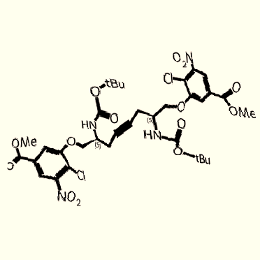 COC(=O)c1cc(OC[C@H](CC#CC[C@@H](COc2cc(C(=O)OC)cc([N+](=O)[O-])c2Cl)NC(=O)OC(C)(C)C)NC(=O)OC(C)(C)C)c(Cl)c([N+](=O)[O-])c1